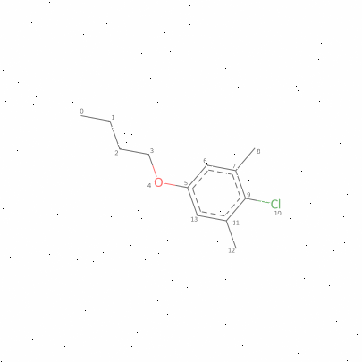 CCCCOc1cc(C)c(Cl)c(C)c1